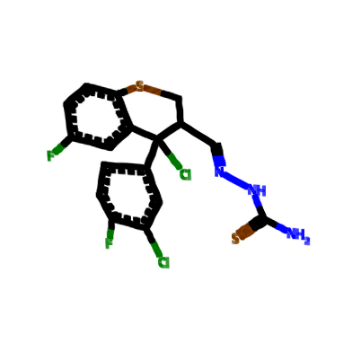 NC(=S)NN=CC1CSc2ccc(F)cc2C1(Cl)c1ccc(F)c(Cl)c1